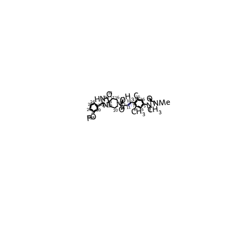 CNC(=O)N(C)c1cc(C)c(/C=C/S(=O)(=O)N2CCC3(CC2)N=C(c2cccc(OF)c2)NC3=O)c(C)c1